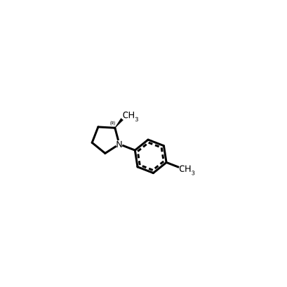 Cc1ccc(N2CCC[C@H]2C)cc1